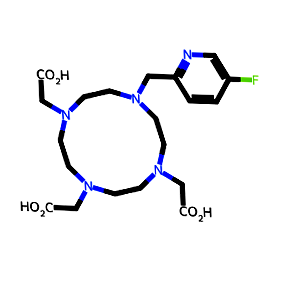 O=C(O)CN1CCN(CC(=O)O)CCN(Cc2ccc(F)cn2)CCN(CC(=O)O)CC1